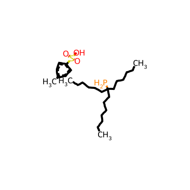 CCCCCCCC(P)(CCCCCC)CCCCCC.Cc1ccc(S(=O)(=O)O)cc1